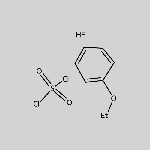 CCOc1ccccc1.F.O=S(=O)(Cl)Cl